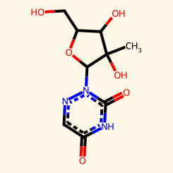 CC1(O)C(O)C(CO)OC1n1ncc(=O)[nH]c1=O